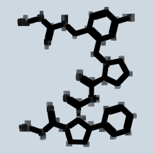 CC(C)(C)OC(=O)NCc1ccc(Cl)cc1CN1CCC[C@H]1C(=O)NC(=O)[C@@H]1C(c2ccccc2)CCN1C(=O)OC(C)(C)C